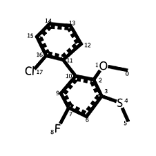 COc1c(SC)cc(F)cc1-c1ccccc1Cl